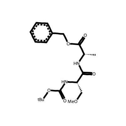 COC[C@H](NC(=O)OC(C)(C)C)C(=O)N[C@@H](C)C(=O)OCc1ccccc1